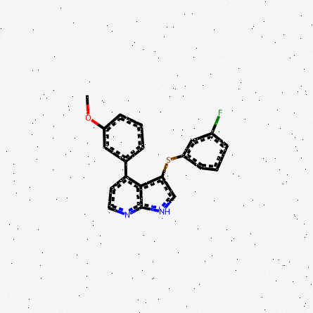 COc1cccc(-c2ccnc3[nH]cc(Sc4cccc(F)c4)c23)c1